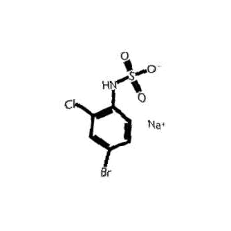 O=S(=O)([O-])Nc1ccc(Br)cc1Cl.[Na+]